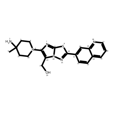 CC1(N)CCN(c2nc3sc(-c4ccc5cccnc5c4)nn3c2CO)CC1